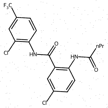 CCCC(=O)Nc1ccc(Cl)cc1C(=O)Nc1ccc(C(F)(F)F)cc1Cl